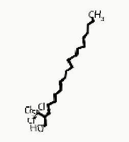 CCCCCCCCCCCCCCCCCCC(CO)[Si](Cl)(Cl)Cl